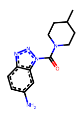 CC1CCN(C(=O)n2nnc3ccc(N)cc32)CC1